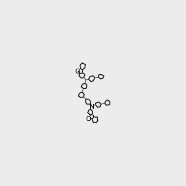 c1ccc(-c2ccc(C(c3ccc(-c4cccc(-c5ccc(N(c6ccc(-c7ccccc7)cc6)c6ccc7oc8ccccc8c7c6)cc5)c4)cc3)c3ccc4oc5ccccc5c4c3)cc2)cc1